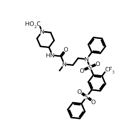 CN(CCN(c1ccccc1)S(=O)(=O)c1cc(S(=O)(=O)c2ccccc2)ccc1C(F)(F)F)C(=O)NC1CCN(C(=O)O)CC1